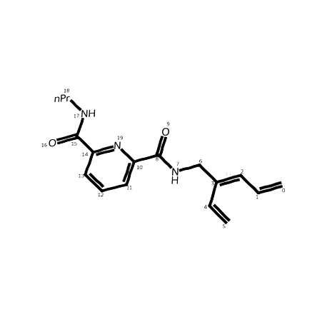 C=C/C=C(\C=C)CNC(=O)c1cccc(C(=O)NCCC)n1